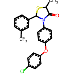 CC1SC(c2cccc(C(F)(F)F)c2)N(c2ccc(Oc3ccc(Cl)cc3)cc2)C1=O